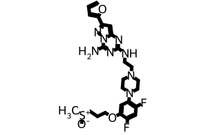 C[S+]([O-])CCCOc1cc(N2CCN(CCNc3nc(N)n4nc(-c5ccco5)cc4n3)CC2)c(F)cc1F